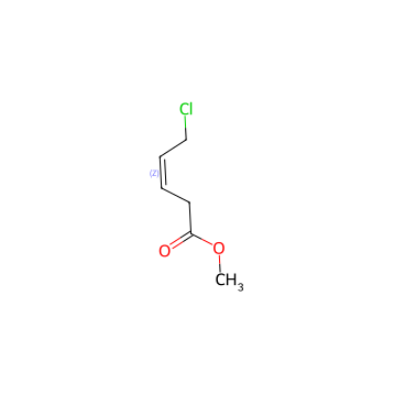 COC(=O)C/C=C\CCl